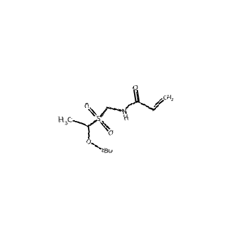 C=CC(=O)NCS(=O)(=O)C(C)OC(C)(C)C